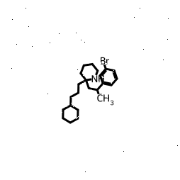 CC(CC1(CCCC2CCCCC2)CCCCN1)c1cccc(Br)c1